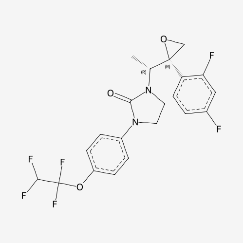 C[C@@H](N1CCN(c2ccc(OC(F)(F)C(F)F)cc2)C1=O)[C@]1(c2ccc(F)cc2F)CO1